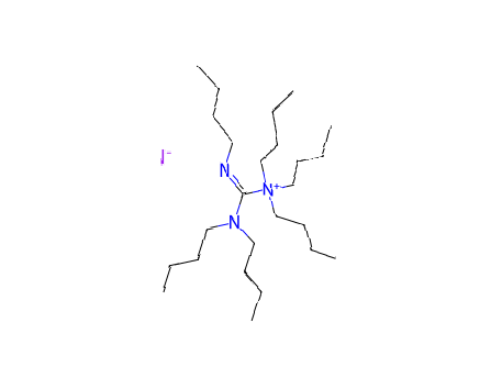 CCCCN=C(N(CCCC)CCCC)[N+](CCCC)(CCCC)CCCC.[I-]